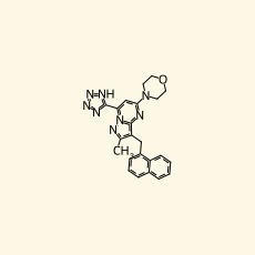 Cc1nn2c(-c3nnn[nH]3)cc(N3CCOCC3)nc2c1Cc1cccc2ccccc12